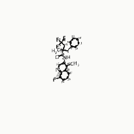 Cc1c(NC(=O)C(C)(Cc2ccccc2)CC(F)(F)F)cnc2c(F)cccc12